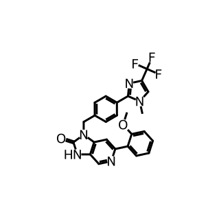 COc1ccccc1-c1cc2c(cn1)[nH]c(=O)n2Cc1ccc(-c2nc(C(F)(F)F)cn2C)cc1